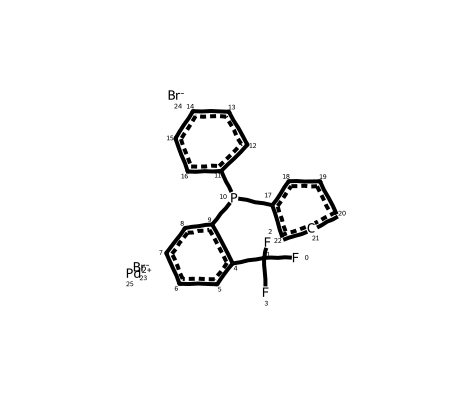 FC(F)(F)c1ccccc1P(c1ccccc1)c1ccccc1.[Br-].[Br-].[Pd+2]